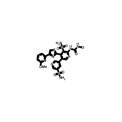 CCNC(=O)Nc1ncc(-c2cncc(S(N)(=O)=O)c2)c(-c2nc(-c3cccc(OC)n3)cs2)c1S(N)(=O)=O